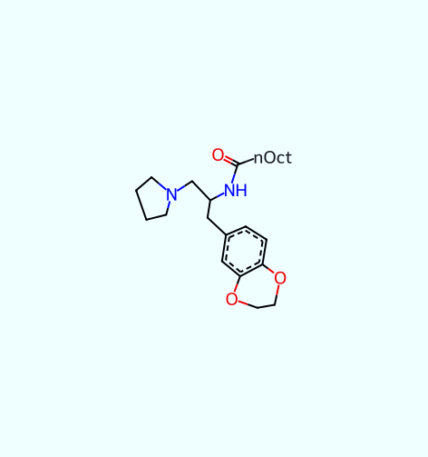 CCCCCCCCC(=O)NC(Cc1ccc2c(c1)OCCO2)CN1CCCC1